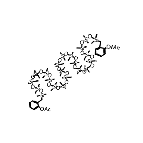 COc1ccccc1C[Si](C)(C)O[Si](C)(C)O[Si](C)(C)O[Si](C)(C)O[Si](C)(C)O[Si](C)(C)O[Si](C)(C)O[Si](C)(C)O[Si](C)(C)O[Si](C)(C)O[Si](C)(C)O[Si](C)(C)O[Si](C)(C)O[Si](C)(C)O[Si](C)(C)O[Si](C)(C)O[Si](C)(C)O[Si](C)(C)O[Si](C)(C)O[Si](C)(C)O[Si](C)(C)Cc1ccccc1OC(C)=O